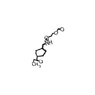 CCC(=O)C1CCC(CNOCCOC=O)CC1